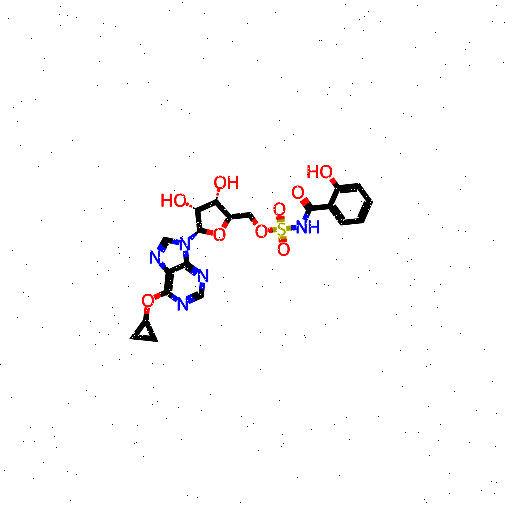 O=C(NS(=O)(=O)OCC1O[C@@H](n2cnc3c(OC4CC4)ncnc32)[C@H](O)[C@@H]1O)c1ccccc1O